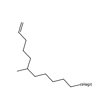 C=CCCCC(C)CCCCCCCCCCCC